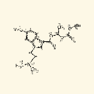 COc1ccc2c(c1)c(CCN(C)C)cn2C(=O)OC(C)OC(=O)OC(C)(C)C